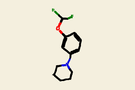 FC(F)Oc1cccc(N2C[CH]CCC2)c1